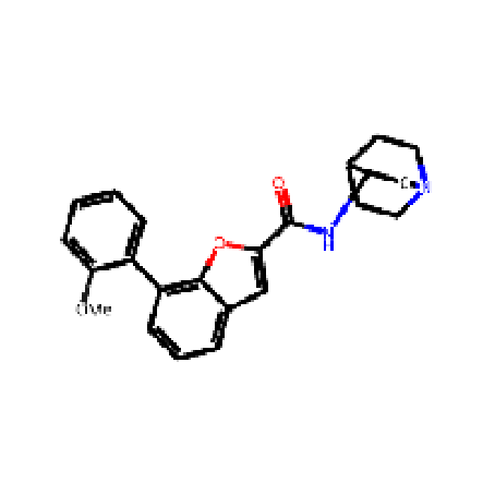 COc1ccccc1-c1cccc2cc(C(=O)NC3CN4CCC3CC4)oc12